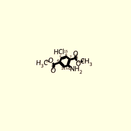 COC(=O)c1ccc(C(=O)OC)c(N)c1.Cl